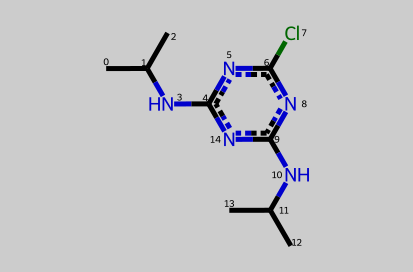 CC(C)Nc1nc(Cl)nc(NC(C)C)n1